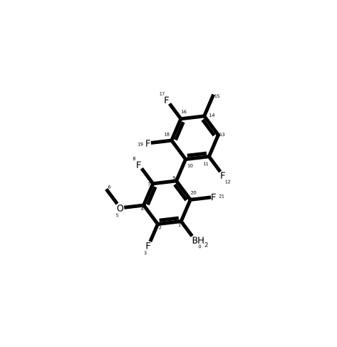 Bc1c(F)c(OC)c(F)c(-c2c(F)cc(C)c(F)c2F)c1F